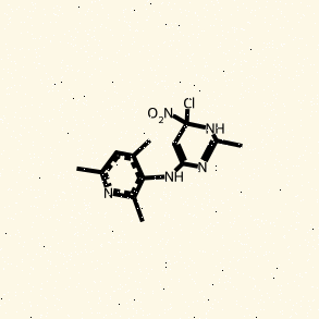 CC1=NC(Nc2c(C)cc(C)nc2C)=CC(Cl)([N+](=O)[O-])N1